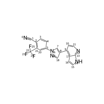 N#Cc1ccc(-n2cc(-c3ccnc4[nH]ccc34)cn2)cc1C(F)(F)F